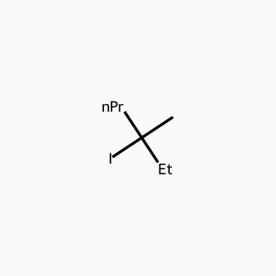 [CH2]CC(C)(I)CCC